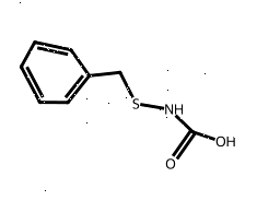 O=C(O)NSCc1ccccc1